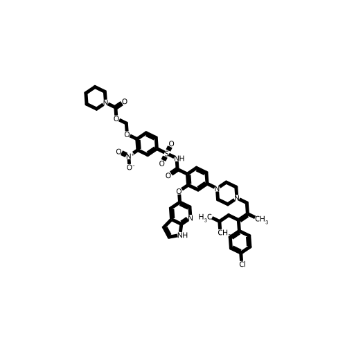 CC(CN1CCN(c2ccc(C(=O)NS(=O)(=O)c3ccc(OCOC(=O)N4CCCCC4)c([N+](=O)[O-])c3)c(Oc3cnc4[nH]ccc4c3)c2)CC1)=C(CC(C)C)c1ccc(Cl)cc1